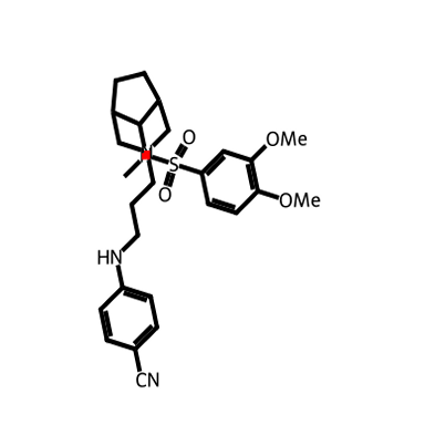 COc1ccc(S(=O)(=O)N(C)C2C3CCC2CN(CCCNc2ccc(C#N)cc2)C3)cc1OC